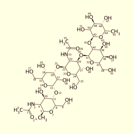 CC(=O)NC1[C@H](C)OC(CO)[C@@H](O[C@@H]2OC(CO)[C@H](O)[C@H](O[C@@H]3OC(CO)[C@@H](O)[C@H](O[C@@H]4OC(CO)[C@H](O)[C@H](O)C4O[C@@H]4OC(C)[C@@H](O)[C@H](O)C4O)C3NC(C)=O)C2O)[C@@H]1O